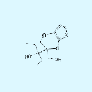 CCC(O)(CC)C1(CO)COc2cscc2O1